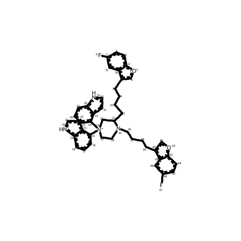 Fc1ccc2occ(CCCCC3C[N+](c4cccc5[nH]ccc45)(c4cccc5[nH]ccc45)CCN3CCCCc3coc4ccc(F)cc34)c2c1